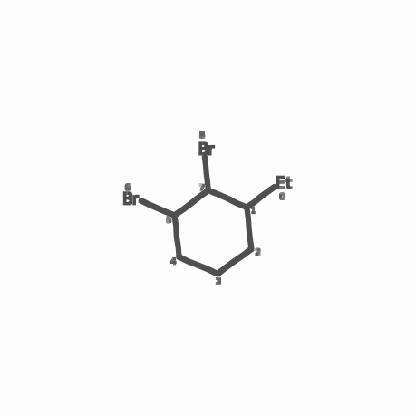 CCC1CCCC(Br)C1Br